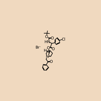 CC(C)(C)OC(=O)NC(C(=O)O[C@H]1C[N+]2(CC(=O)c3ccccc3)CCC1CC2)c1ccc(Cl)cc1.[Br-]